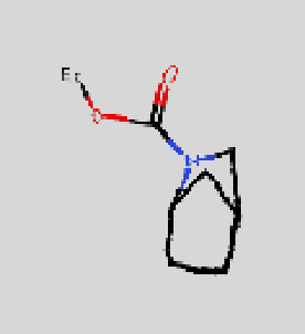 CCOC(=O)N1CC2CCC1C2